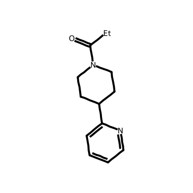 CCC(=O)N1CCC(c2ccccn2)CC1